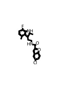 Cc1[nH]c2c(F)ccc(C)c2c1CCNC(=O)c1cc2cc(Cl)ccc2o1